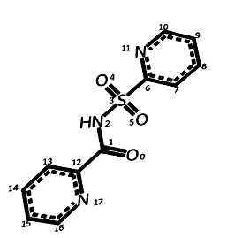 O=C(NS(=O)(=O)c1ccccn1)c1ccccn1